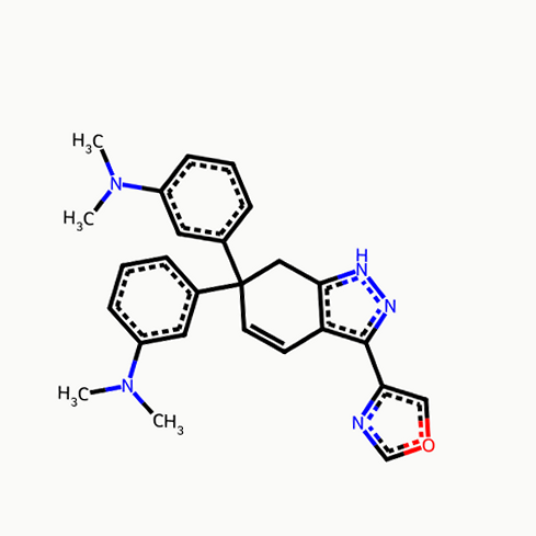 CN(C)c1cccc(C2(c3cccc(N(C)C)c3)C=Cc3c(-c4cocn4)n[nH]c3C2)c1